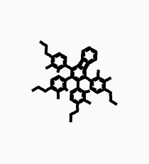 CCCc1ccc(-c2c(-c3ccc(CCC)c(C)c3C)c(-c3ccc(CCC)c(C)c3C)c3c(c2-c2ccc(CCC)c(C)c2C)=c2ccccc2=3)c(C)c1C